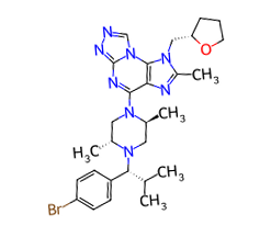 Cc1nc2c(N3C[C@@H](C)N([C@@H](c4ccc(Br)cc4)C(C)C)C[C@@H]3C)nc3nncn3c2n1C[C@@H]1CCCO1